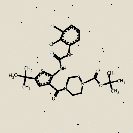 CC(C)(C)OC(=O)N1CCN(C(=O)c2cc(C(C)(C)C)sc2NC(=O)Nc2cccc(Cl)c2Cl)CC1